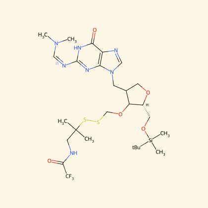 CN(C)/C=N\c1nc2c(ncn2CC2CO[C@H](CO[Si](C)(C)C(C)(C)C)C2OCSSC(C)(C)CNC(=O)C(F)(F)F)c(=O)[nH]1